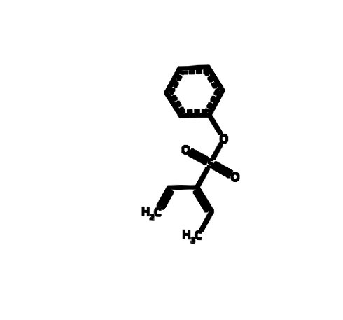 C=C/C(=C\C)S(=O)(=O)Oc1ccccc1